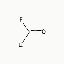 [Li][C](=O)F